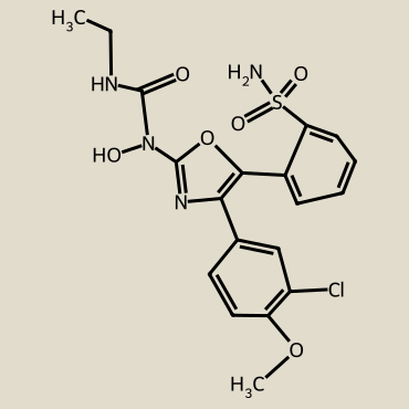 CCNC(=O)N(O)c1nc(-c2ccc(OC)c(Cl)c2)c(-c2ccccc2S(N)(=O)=O)o1